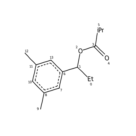 CCC(OC(=O)C(C)C)c1cc(C)cc(C)c1